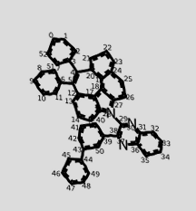 c1ccc(C2=C(c3ccccc3)c3cccc4c3c3c5c2cccc5ccc3n4-c2nc3ccccc3nc2-c2cccc(-c3ccccc3)c2)cc1